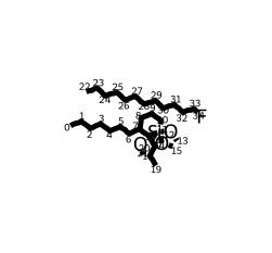 CCCCCCCC1CCC[Si](OC)(OC)C1(CCC)OC.CCCCCCCCCCCCF